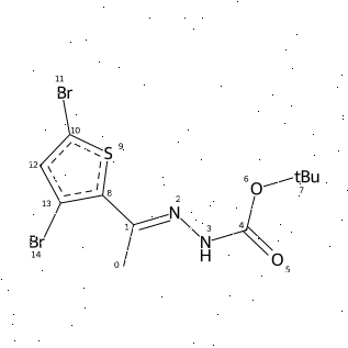 CC(=NNC(=O)OC(C)(C)C)c1sc(Br)cc1Br